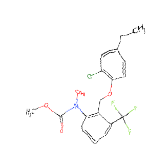 CCc1ccc(OCc2c(N(O)C(=O)OC)cccc2C(F)(F)F)c(Cl)c1